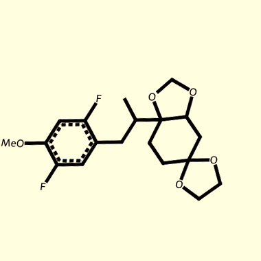 COc1cc(F)c(CC(C)C23CCC4(CC2OCO3)OCCO4)cc1F